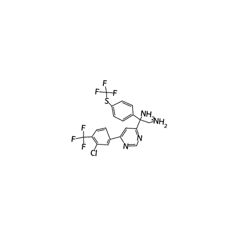 NCC(N)(c1ccc(SC(F)(F)F)cc1)c1cc(-c2ccc(C(F)(F)F)c(Cl)c2)ncn1